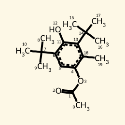 CC(=O)Oc1cc(C(C)(C)C)c(O)c(C(C)(C)C)c1C